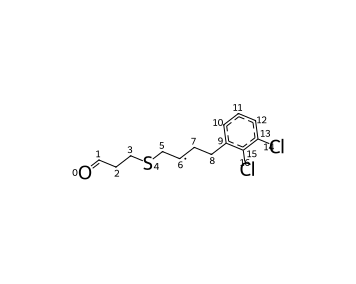 O=CCCSC[CH]CCc1cccc(Cl)c1Cl